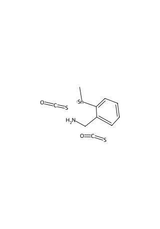 O=C=S.O=C=S.[CH3][Sn][c]1ccccc1CN